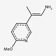 COc1ccc(/C(C)=C/N)cn1